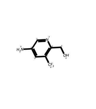 Nc1cnc(CO)c(C(F)(F)F)c1